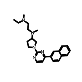 CCN(C)CCN(C)C1CCN(c2nccc(-c3ccc4ccccc4c3)n2)C1